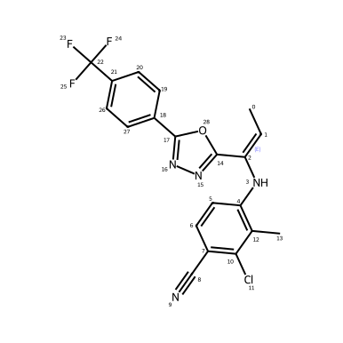 C/C=C(/Nc1ccc(C#N)c(Cl)c1C)c1nnc(-c2ccc(C(F)(F)F)cc2)o1